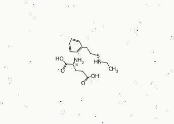 CCNSCCc1ccccc1.N[C@@H](CCC(=O)O)C(=O)O